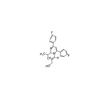 CC(C)C1N=C(c2ccc(F)cc2)C=C(c2ccc(F)cc2)N1C(F)=CCO